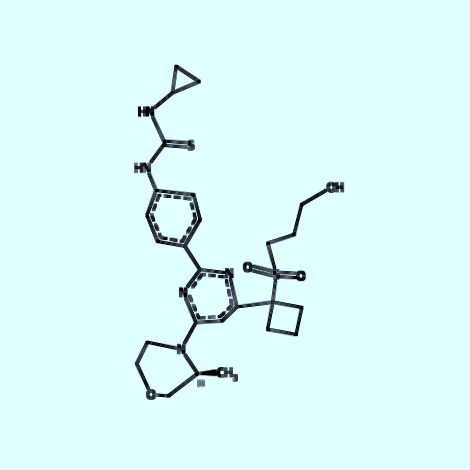 C[C@H]1COCCN1c1cc(C2(S(=O)(=O)CCCO)CCC2)nc(-c2ccc(NC(=S)NC3CC3)cc2)n1